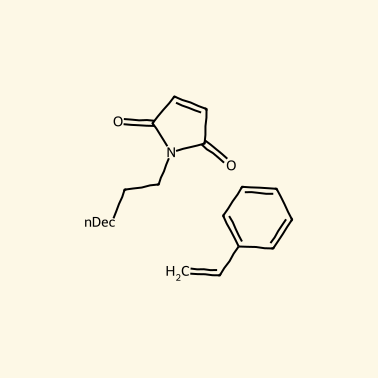 C=Cc1ccccc1.CCCCCCCCCCCCN1C(=O)C=CC1=O